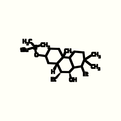 CCC1C2C(CCC1(C)C)[C@@]1(C)CCC(O[Si](C)(C)C(C)(C)C)C[C@H]1[C@@H](CC)[C@H]2O